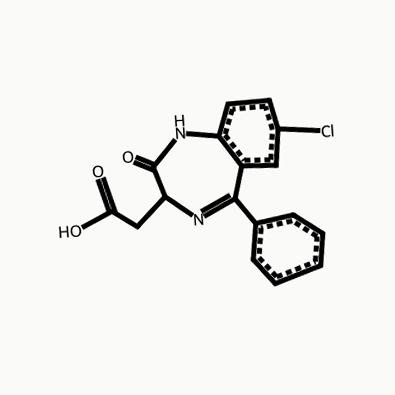 O=C(O)CC1N=C(c2ccccc2)c2cc(Cl)ccc2NC1=O